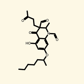 CCCCCC(C)Oc1cc(O)c2c(c1)N(C=O)C(C)C(C=O)(CCC(C)=O)C2=O